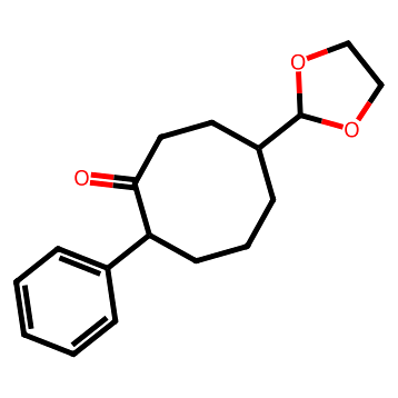 O=C1CCC(C2OCCO2)CCCC1c1ccccc1